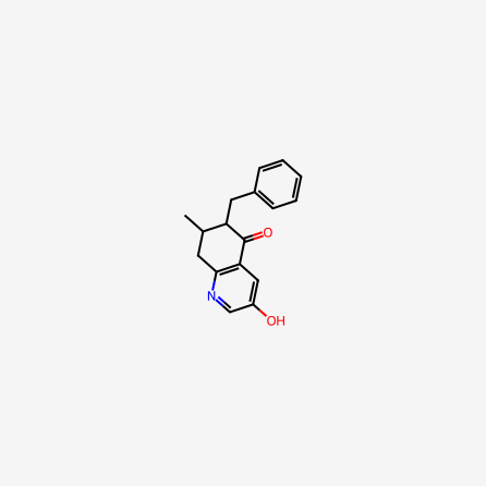 CC1Cc2ncc(O)cc2C(=O)C1Cc1ccccc1